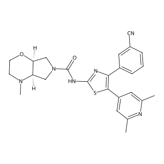 Cc1cc(-c2sc(NC(=O)N3C[C@@H]4OCCN(C)[C@@H]4C3)nc2-c2cccc(C#N)c2)cc(C)n1